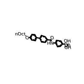 CCCCCCCCOc1ccc(-c2ccc(C(=O)Nc3ccc(P(=O)(O)O)cc3)cc2)cc1